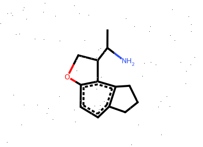 CC(N)C1COc2ccc3c(c21)CCC3